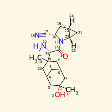 CC1(O)CC2CC(C1)CC(C)([C@H](N)C(=O)N1[C@H](C#N)C[C@@H]3C[C@@H]31)C2